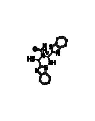 NC(=O)N(C(S)c1nc2ccccc2s1)C(S)c1nc2ccccc2s1